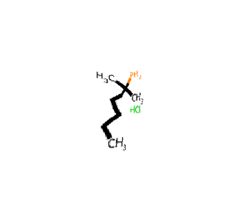 CCCCC(C)(C)P.Cl